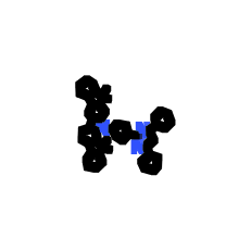 CC1(C)c2ccccc2-c2cc3c4ccc5c(c4n(-c4ccc(-c6nc(-c7ccccc7)cc(-c7ccccc7)n6)cc4)c3cc21)C(C)(C)c1ccccc1-5